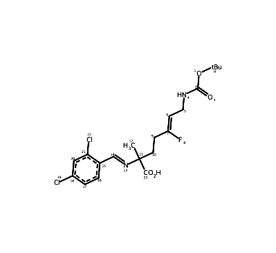 CC(C)(C)OC(=O)NC/C=C(\F)CCC(C)(/N=C/c1ccc(Cl)cc1Cl)C(=O)O